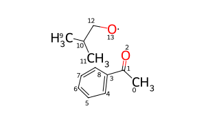 CC(=O)c1ccccc1.CC(C)C[O]